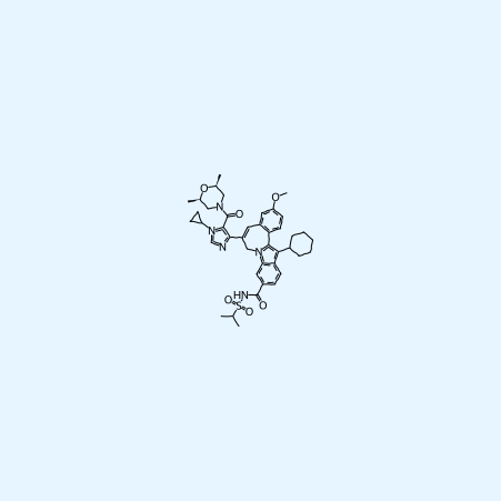 COc1ccc2c(c1)C=C(c1ncn(C3CC3)c1C(=O)N1C[C@@H](C)O[C@@H](C)C1)Cn1c-2c(C2CCCCC2)c2ccc(C(=O)NS(=O)(=O)C(C)C)cc21